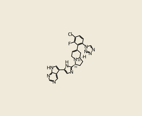 Fc1c(Cl)ccc(-n2cnnn2)c1C1=CCN2[C@H](CC[C@H]2c2ncc(-c3c[nH]c4ncncc34)[nH]2)C1